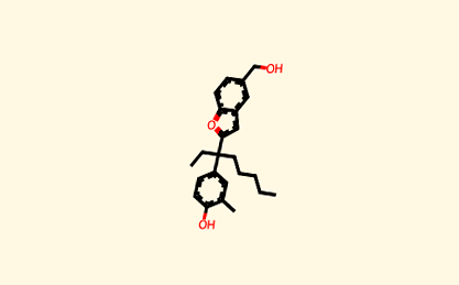 CCCCCC(CC)(c1ccc(O)c(C)c1)c1cc2cc(CO)ccc2o1